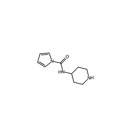 O=C(NC1CCNCC1)n1cccc1